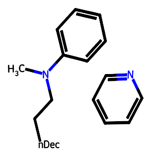 CCCCCCCCCCCCN(C)c1ccccc1.c1ccncc1